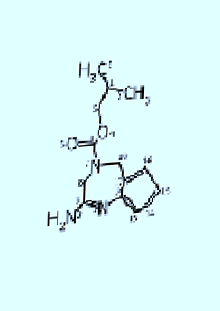 CC(C)COC(=O)N1CC(N)=Nc2ccccc2C1